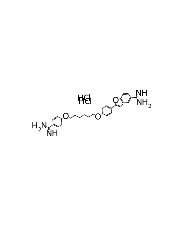 Cl.Cl.N=C(N)c1ccc(OCCCCCCOc2ccc(-c3cc4cc(C(=N)N)ccc4o3)cc2)cc1